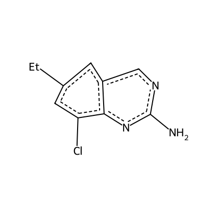 CCc1cc(Cl)c2nc(N)ncc2c1